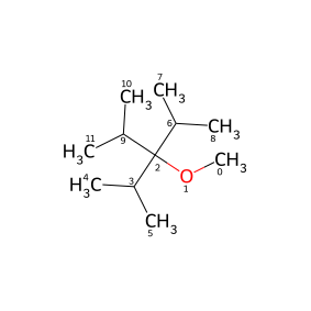 COC(C(C)C)(C(C)C)C(C)C